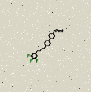 CCCCCC1CCC(C2CCC(CCC=Cc3cc(F)c(F)c(F)c3)CC2)CC1